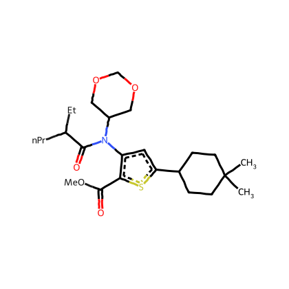 CCCC(CC)C(=O)N(c1cc(C2CCC(C)(C)CC2)sc1C(=O)OC)C1COCOC1